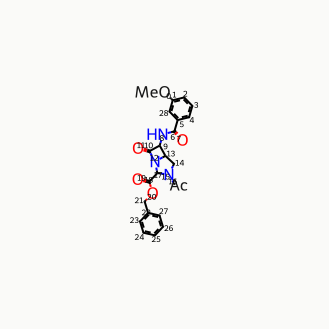 COc1cccc(C(=O)NC2C(=O)N3C2CN(C(C)=O)C3C(=O)OCc2ccccc2)c1